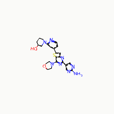 Nc1ncc(-c2nc(N3CCOCC3)c3sc(-c4ccnc(N5CCCC(O)C5)c4)cc3n2)cn1